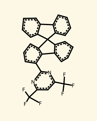 FC(F)(F)c1cc(C(F)(F)F)nc(-c2cccc3c2-c2ccccc2C32c3ccccc3-c3ccccc32)n1